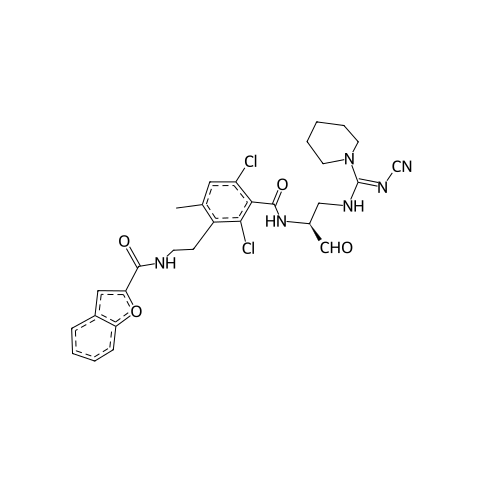 Cc1cc(Cl)c(C(=O)N[C@H](C=O)CN/C(=N/C#N)N2CCCCC2)c(Cl)c1CCNC(=O)c1cc2ccccc2o1